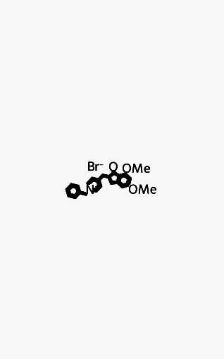 COc1cc2c(c(OC)c1)C(=O)C(Cc1cc[n+](Cc3ccccc3)cc1)C2.[Br-]